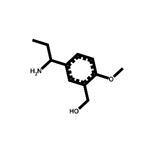 CCC(N)c1ccc(OC)c(CO)c1